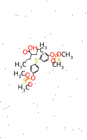 CCCC(CCC)C(=O)O.COP(=S)(OC)Oc1ccc(Sc2ccc(OP(=S)(OC)OC)cc2)cc1